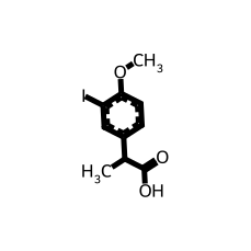 COc1ccc(C(C)C(=O)O)cc1I